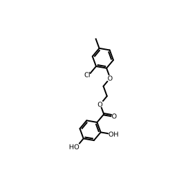 Cc1ccc(OCCOC(=O)c2ccc(O)cc2O)c(Cl)c1